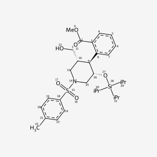 COC(=O)c1ccccc1[C@@H]1[C@@H](CO)CN(S(=O)(=O)c2ccc(C)cc2)C[C@H]1O[Si](C(C)C)(C(C)C)C(C)C